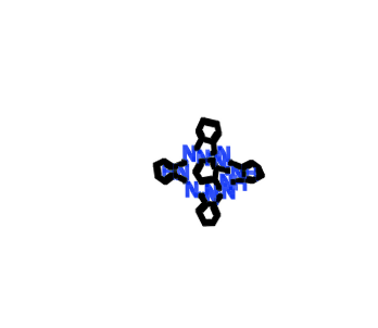 c1ccc2c(c1)C1=NC23/N=c2\[nH]/c(c4ccccc24)=N\C2=NC(/N=c4\[nH]/c(c5ccccc45)=N\1)(/N=c1\[nH]/c(c4ccccc14)=N\3)c1ccccc12